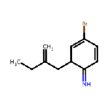 C=C(CC)CC1C=C(Br)C=CC1=N